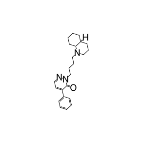 O=c1c(-c2ccccc2)ccnn1CCCCN1CCC[C@H]2CCCCC21